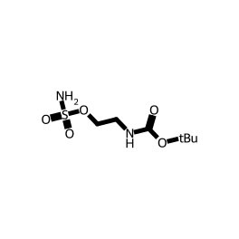 CC(C)(C)OC(=O)NCCOS(N)(=O)=O